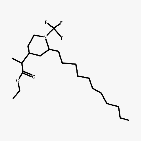 CCCCCCCCCCCC1CC(C(C)C(=O)OCC)CCN1C(F)(F)F